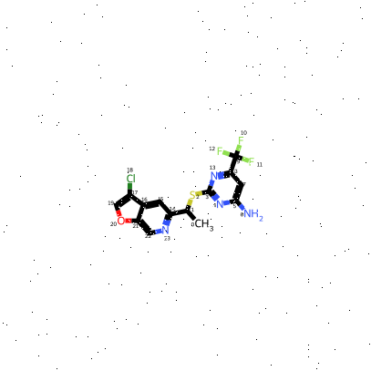 CC(Sc1nc(N)cc(C(F)(F)F)n1)c1cc2c(Cl)coc2cn1